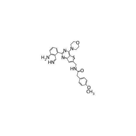 COc1ccc(CC(=O)NCc2cc3nc(-c4cccc(N)c4C=N)nc(N4CCOCC4)c3s2)cc1